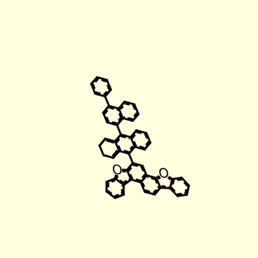 C1=c2c(-c3ccc(-c4ccccc4)c4ccccc34)c3ccccc3c(-c3cc4c(ccc5c6ccccc6oc54)c4c3oc3ccccc34)c2=CCC1